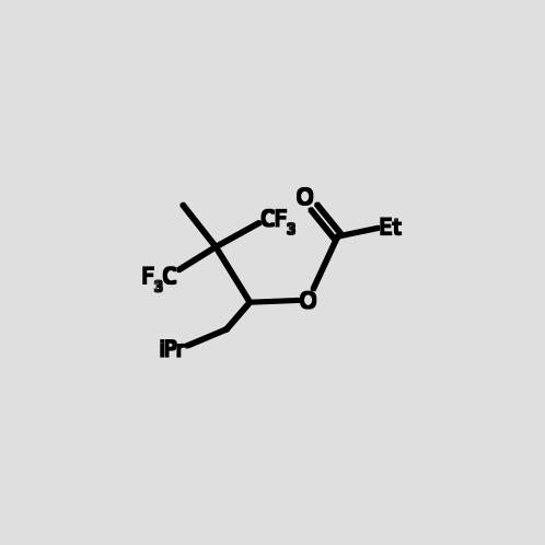 CCC(=O)OC(CC(C)C)C(C)(C(F)(F)F)C(F)(F)F